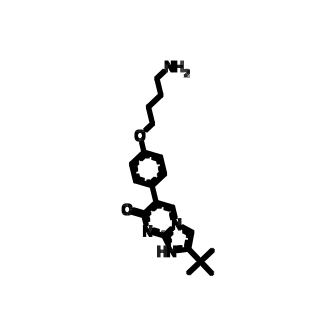 CC(C)(C)c1cn2cc(-c3ccc(OCCCCN)cc3)c(=O)nc2[nH]1